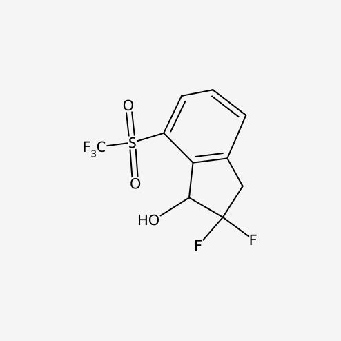 O=S(=O)(c1cccc2c1C(O)C(F)(F)C2)C(F)(F)F